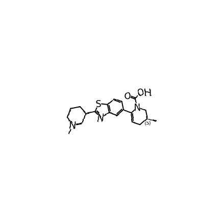 C[C@H]1CC=C(c2ccc3sc(C4CCCN(C)C4)nc3c2)N(C(=O)O)C1